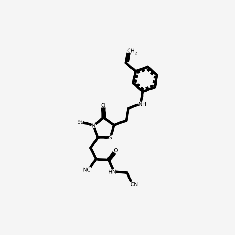 C=Cc1cccc(NCCC2SC(CC(C#N)C(=O)NCC#N)N(CC)C2=O)c1